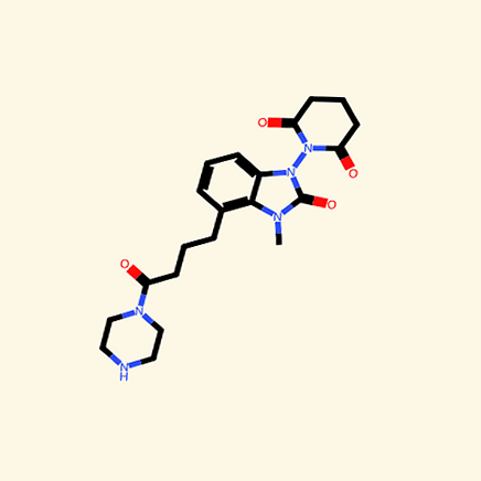 Cn1c(=O)n(N2C(=O)CCCC2=O)c2cccc(CCCC(=O)N3CCNCC3)c21